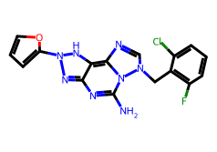 NC1=NC2=NN(c3ccco3)NC2=C2N=CN(Cc3c(F)cccc3Cl)N12